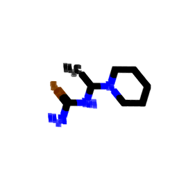 CC(NC(N)=S)N1CCCCC1